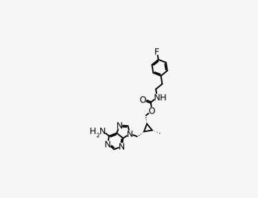 C[C@H]1[C@@H](COC(=O)NCCc2ccc(F)cc2)[C@H]1Cn1cnc2c(N)ncnc21